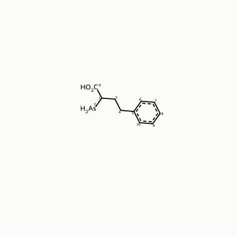 O=C(O)C([AsH2])CCc1ccccc1